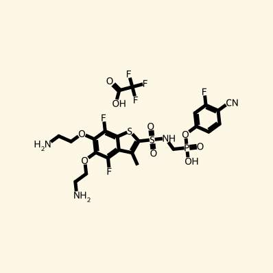 Cc1c(S(=O)(=O)NCP(=O)(O)Oc2ccc(C#N)c(F)c2)sc2c(F)c(OCCN)c(OCCN)c(F)c12.O=C(O)C(F)(F)F